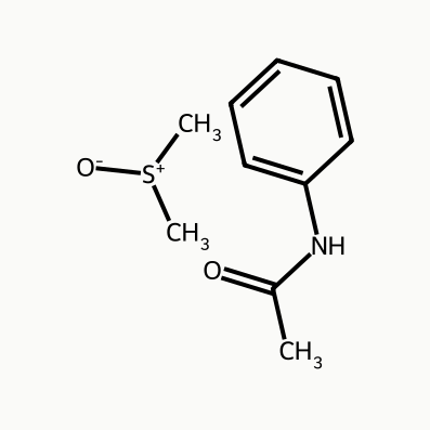 CC(=O)Nc1ccccc1.C[S+](C)[O-]